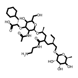 CC[C@@H](COC1O[C@@H](C)C(O)[C@H](O)[C@@H]1O)CC(C[C@H](C)O[C@@H]1OC(CO)C(O)C(O[C@@H](CC2CCCCC2)C(=O)O)C1NC(C)=O)C(=O)NCCN